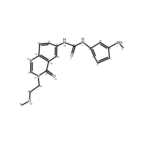 CNc1cccc(NC(=O)Nc2ccc3ncn(CCOC)c(=O)c3c2)c1